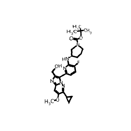 COc1cc2nc(CO)c(-c3ccc(F)c(N[C@@H]4CCCN(C(=O)OC(C)(C)C)C4)n3)n2nc1C1CC1